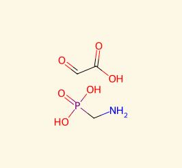 NCP(=O)(O)O.O=CC(=O)O